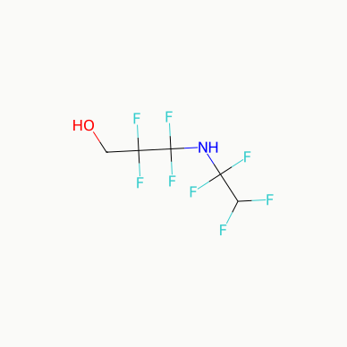 OCC(F)(F)C(F)(F)NC(F)(F)C(F)F